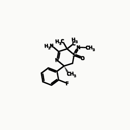 CN=S1(=O)C[C@@](C)(c2ccccc2F)N=C(N)C1(C)C